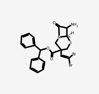 NC1C(=O)N2CC(C=C(Br)Br)(C(=O)OC(c3ccccc3)c3ccccc3)CS[C@H]12